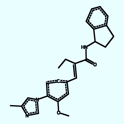 CC/C(=C\c1ccc(-n2cnc(C)c2)c(OC)c1)C(=O)NC1CCc2ccccc21